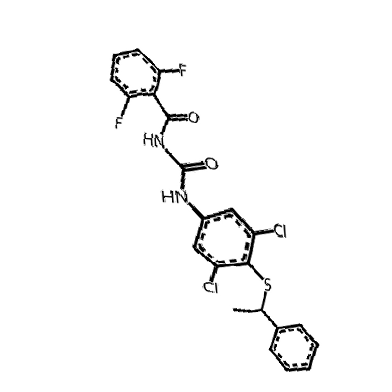 CC(Sc1c(Cl)cc(NC(=O)NC(=O)c2c(F)cccc2F)cc1Cl)c1ccccc1